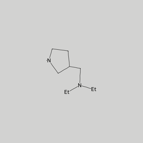 CCN(CC)CC1CC[N]C1